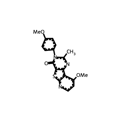 COc1ccc(-n2c(C)nc3c(sc4nccc(OC)c43)c2=O)cc1